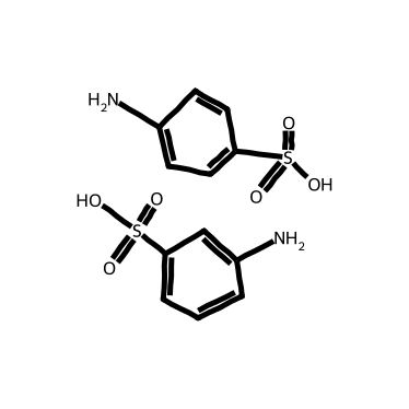 Nc1ccc(S(=O)(=O)O)cc1.Nc1cccc(S(=O)(=O)O)c1